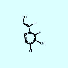 Cc1c(Cl)ccc(/C(Cl)=N/O)c1F